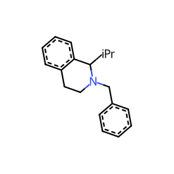 CC(C)C1c2ccccc2CCN1Cc1ccccc1